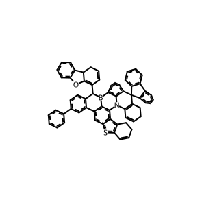 C1=CC2=C(CC1)C1(c3ccccc3-c3ccccc31)c1cccc3c1N2c1c2c(cc4sc5c(c14)CCC=C5)-c1cc(-c4ccccc4)ccc1C(C1=C4Oc5ccccc5C4CC=C1)B32